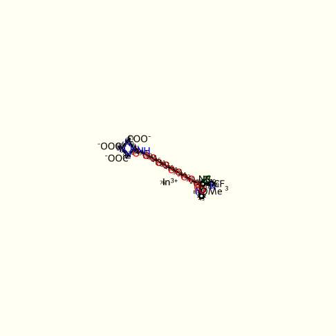 COc1ccccc1N(C)S(=O)(=O)c1cc(-c2cnc(C(F)(F)F)cc2C#N)c(Cl)cc1OCCOCCOCCOCCOCCOCCOCCOCCOCCNC(=O)CN1CCN(CC(=O)[O-])CCN(CC(=O)[O-])CCN(CC(=O)[O-])CC1.[In+3]